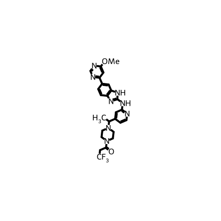 COc1cc(-c2ccc3nc(Nc4cc(C(C)N5CCN(C(=O)CC(F)(F)F)CC5)ccn4)[nH]c3c2)ncn1